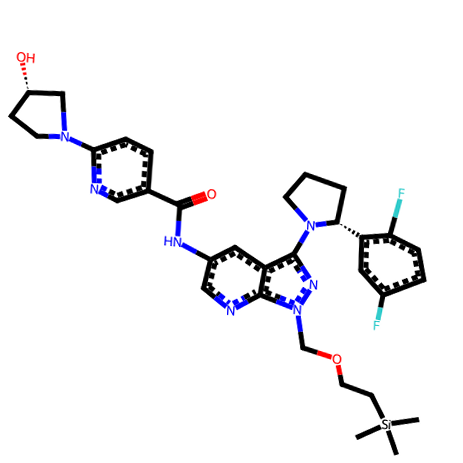 C[Si](C)(C)CCOCn1nc(N2CCC[C@@H]2c2cc(F)ccc2F)c2cc(NC(=O)c3ccc(N4CC[C@H](O)C4)nc3)cnc21